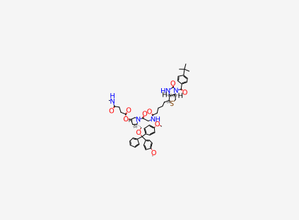 CNC(=O)CCC(=O)O[C@@H]1C[C@@H](COC(c2ccccc2)(c2ccc(OC)cc2)c2ccc(OC)cc2)N(C(=O)CNC(=O)CCCC[C@@H]2SC[C@H]3[C@@H]2NC(=O)N3C(=O)c2ccc(C(C)(C)C)cc2)C1